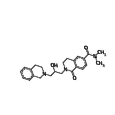 CN(C)C(=O)c1ccc2c(c1)CCN(CC(O)CN1CCc3ccccc3C1)C2=O